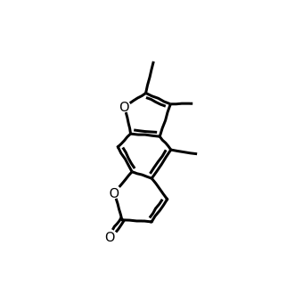 Cc1oc2cc3oc(=O)ccc3c(C)c2c1C